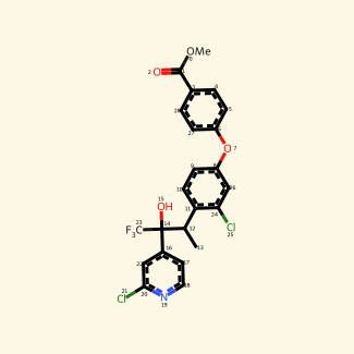 COC(=O)c1ccc(Oc2ccc(C(C)C(O)(c3ccnc(Cl)c3)C(F)(F)F)c(Cl)c2)cc1